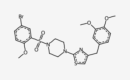 COc1ccc(Cc2csc(N3CCN(S(=O)(=O)c4cc(Br)ccc4OC)CC3)n2)cc1OC